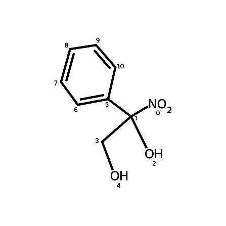 O=[N+]([O-])C(O)(CO)c1ccccc1